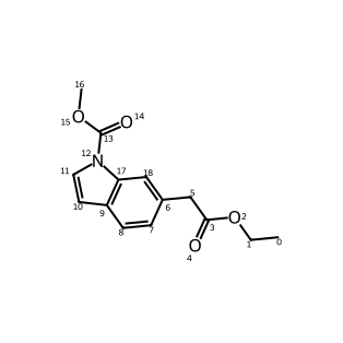 CCOC(=O)Cc1ccc2ccn(C(=O)OC)c2c1